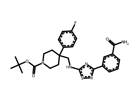 CC(C)(C)OC(=O)N1CCC(CNc2nc(-c3cccc(C(N)=O)c3)ns2)(c2ccc(F)cc2)CC1